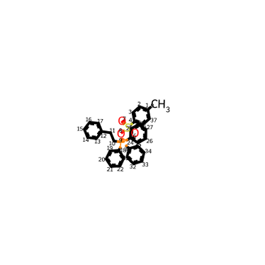 Cc1ccc(S(=O)(=O)OP(CCc2ccccc2)(c2ccccc2)(c2ccccc2)c2ccccc2)cc1